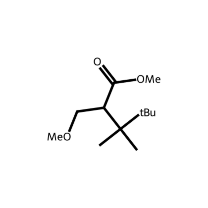 COCC(C(=O)OC)C(C)(C)C(C)(C)C